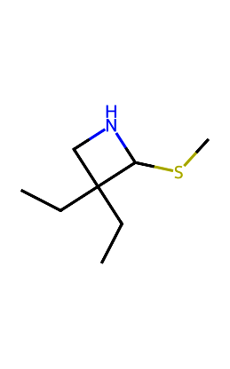 CCC1(CC)CNC1SC